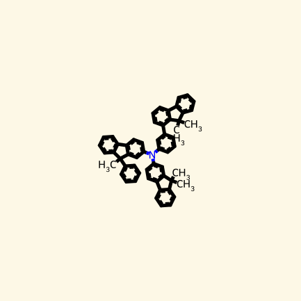 CC1(C)c2ccccc2-c2ccc(N(c3cccc(-c4cccc5c4C(C)(C)c4ccccc4-5)c3)c3ccc4c(c3)C(C)(c3ccccc3)c3ccccc3-4)cc21